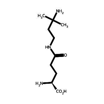 CC(C)(N)CCNC(=O)CC[C@H](N)C(=O)O